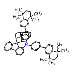 CC1(C)CCC(C)(C)c2cc(-c3ccc(N(c4ccc(-c5ccc6c(c5)C(C)(C)CCC6(C)C)cc4)c4cccc5c4C4(c6ccccc6-5)C5CC6CC7CC4C75C6)cc3)ccc21